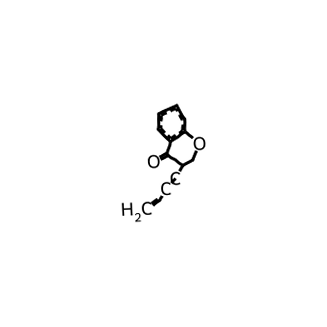 C=CCCC1COc2ccccc2C1=O